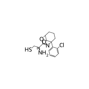 N[C@@H](CS)C1=NC2(c3ccccc3Cl)CCCC(O1)C2=O